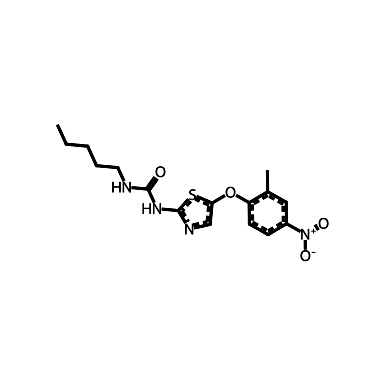 CCCCCNC(=O)Nc1ncc(Oc2ccc([N+](=O)[O-])cc2C)s1